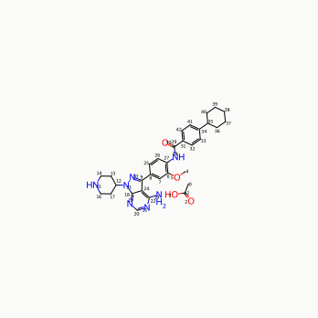 CC(=O)O.COc1cc(-c2nn(C3CCNCC3)c3ncnc(N)c23)ccc1NC(=O)c1ccc(C2CCCCC2)cc1